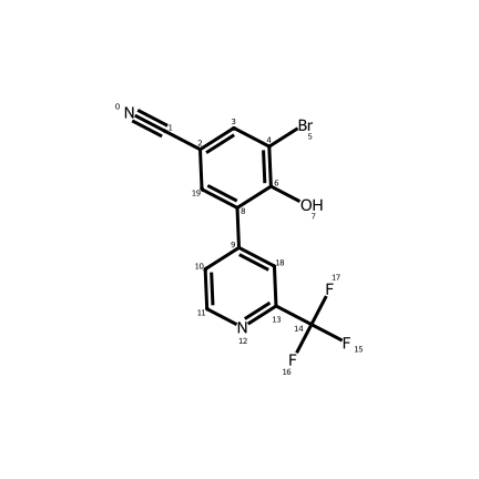 N#Cc1cc(Br)c(O)c(-c2ccnc(C(F)(F)F)c2)c1